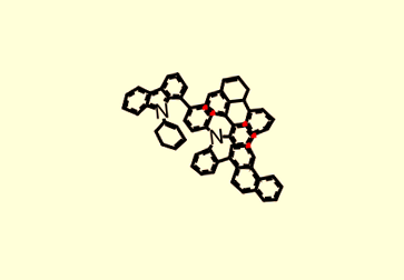 C1=CCCC(n2c3ccccc3c3cccc(-c4ccc(N(c5ccccc5-c5cccc6c5C(c5ccccc5)CC=C6)c5ccccc5-c5cccc6c5ccc5ccccc56)cc4)c32)=C1